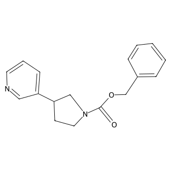 O=C(OCc1ccccc1)N1CCC(c2cccnc2)C1